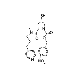 CN(CCCc1ccncc1)C(=O)C1CC(S)CN1C(=O)OCc1ccc([N+](=O)[O-])cc1